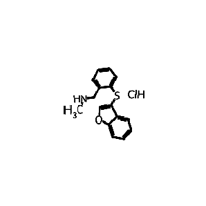 CNCc1ccccc1Sc1coc2ccccc12.Cl